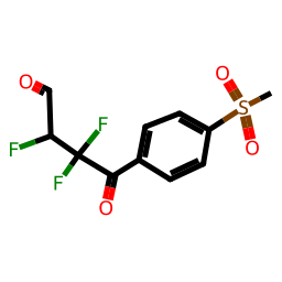 CS(=O)(=O)c1ccc(C(=O)C(F)(F)C(F)C=O)cc1